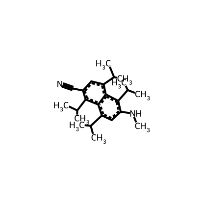 CNc1cc(C(C)C)c2c(C(C)C)c(C#N)cc(C(C)C)c2c1C(C)C